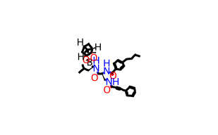 CCCCc1ccc(C(=O)N[C@@H](CNC(=O)C#Cc2ccccc2)C(=O)N[C@@H](CC(C)C)B2O[C@@H]3C[C@@H]4C[C@@H](C4(C)C)[C@]3(C)O2)cc1